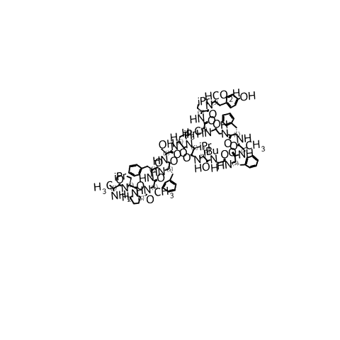 CC[C@H](C)[C@H](NC(=O)[C@@H](NC(=O)[C@H](CC(C)C)NC(=O)[C@H](CO)NC(=O)[C@H](Cc1ccccc1)NC(=O)[C@H](Cc1ccccc1)NC(=O)[C@H](C)NC(=O)[C@@H]1CCCN1C(=O)[C@H](CC(C)C)NC(=O)[C@H](C)N)C(C)C)C(=O)NCC(=O)N[C@@H](Cc1ccccc1)C(=O)N[C@@H](C)C(=O)N[C@@H](Cc1ccccc1)C(=O)NCC(=O)N[C@@H](C)C(=O)N[C@@H](CC(C)C)C(=O)N[C@@H](Cc1ccc(O)cc1)C(=O)O